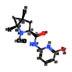 O=CN1[C@@H]2C[C@@H]2C[C@H]1C(=O)Nc1cccc(Br)n1